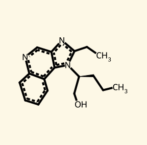 CCC[C@@H](CO)n1c(CC)nc2cnc3ccccc3c21